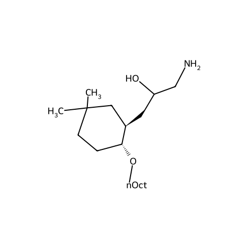 CCCCCCCCO[C@@H]1CCC(C)(C)C[C@H]1CC(O)CN